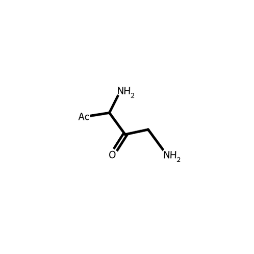 CC(=O)C(N)C(=O)CN